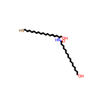 O=C(CCCCCCCCCCCCCCCO)NC(CO)C/C=C/CCCCCCCCCCCCS